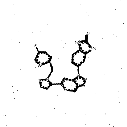 O=c1[nH]c2ccc(-n3nnc4cnc(-c5ccnn5Cc5ccc(F)cn5)cc43)cc2[nH]1